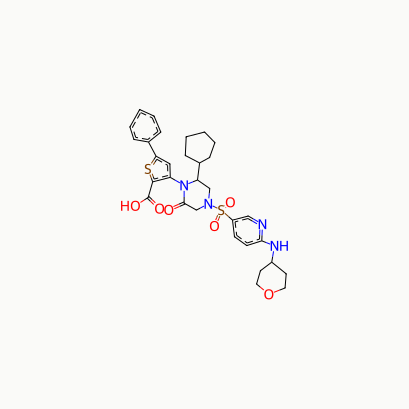 O=C(O)c1sc(-c2ccccc2)cc1N1C(=O)CN(S(=O)(=O)c2ccc(NC3CCOCC3)nc2)CC1C1CCCCC1